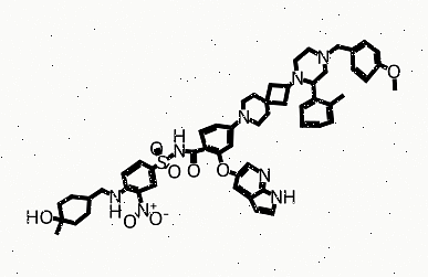 COc1ccc(CN2CCN(C3CC4(CCN(c5ccc(C(=O)NS(=O)(=O)c6ccc(NCC7CCC(C)(O)CC7)c([N+](=O)[O-])c6)c(Oc6cnc7[nH]ccc7c6)c5)CC4)C3)C(c3ccccc3C)C2)cc1